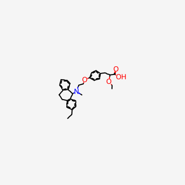 CCOC(Cc1ccc(OCCN(C)C2c3ccccc3CCc3cc(CC)ccc32)cc1)C(=O)O